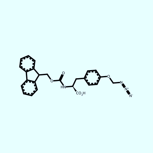 [N-]=[N+]=NCOc1ccc(C[C@H](NC(=O)OCC2c3ccccc3-c3ccccc32)C(=O)O)cc1